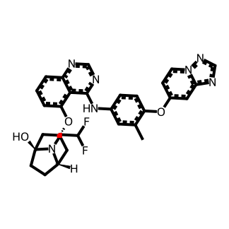 Cc1cc(Nc2ncnc3cccc(O[C@@H]4C[C@@H]5CC[C@](O)(C4)N5CC(F)F)c23)ccc1Oc1ccn2ncnc2c1